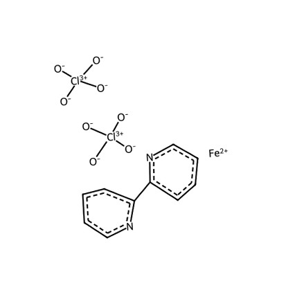 [Fe+2].[O-][Cl+3]([O-])([O-])[O-].[O-][Cl+3]([O-])([O-])[O-].c1ccc(-c2ccccn2)nc1